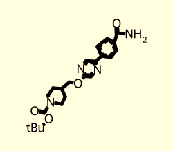 CC(C)(C)OC(=O)N1CCC(COc2cnc(-c3ccc(C(N)=O)cc3)cn2)CC1